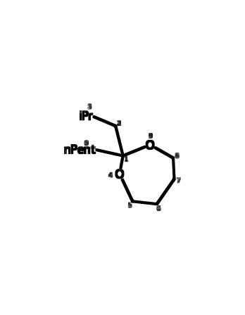 CCCCCC1(CC(C)C)OCCCCO1